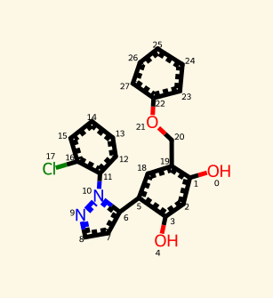 Oc1cc(O)c(-c2ccnn2-c2ccccc2Cl)cc1COc1ccccc1